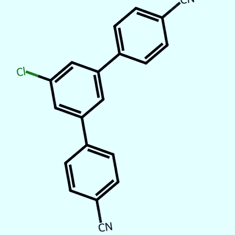 N#Cc1ccc(-c2cc(Cl)cc(-c3ccc(C#N)cc3)c2)cc1